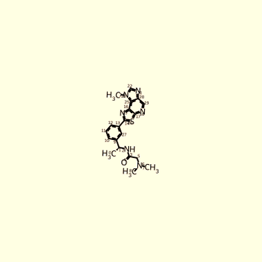 C[C@H](NC(=O)CN(C)C)c1cccc(-c2nc3c(ncc4ncn(C)c43)s2)c1